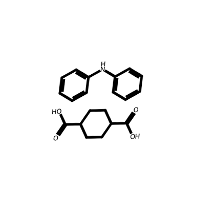 O=C(O)C1CCC(C(=O)O)CC1.c1ccc(Nc2ccccc2)cc1